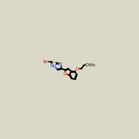 COCCOc1cccc2oc(-c3cn4nc(Br)sc4n3)cc12